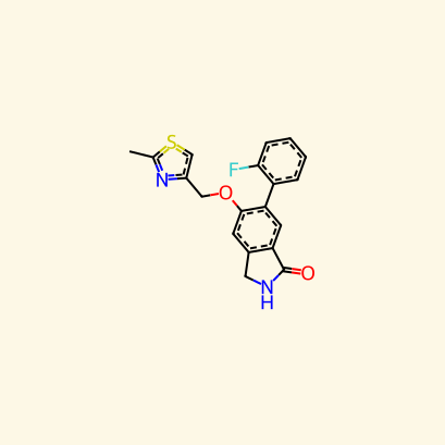 Cc1nc(COc2cc3c(cc2-c2ccccc2F)C(=O)NC3)cs1